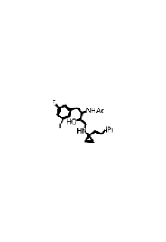 CC(=O)NC(Cc1cc(F)cc(F)c1)C(O)CNC1(CCC(C)C)CC1